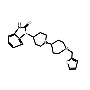 O=c1[nH]c2ccccc2n1C1CCN(C2CCN(Cc3cccs3)CC2)CC1